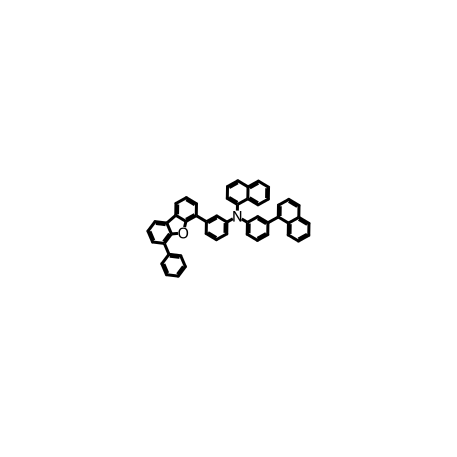 c1ccc(-c2cccc3c2oc2c(-c4cccc(N(c5cccc(-c6cccc7ccccc67)c5)c5cccc6ccccc56)c4)cccc23)cc1